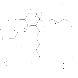 CCCCOCC1N(CCCC)C(=O)CC2OC21OCCCC